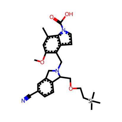 COc1cc(C)c2c(ccn2C(=O)O)c1CN1Cc2cc(C#N)ccc2C1COCC[Si](C)(C)C